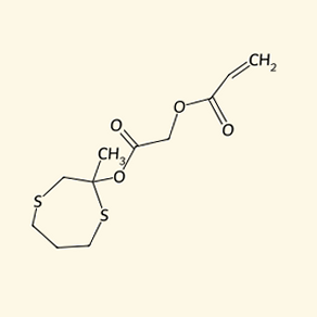 C=CC(=O)OCC(=O)OC1(C)CSCCCS1